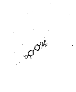 COc1ccc(-c2ccc(OC(F)(F)F)cc2)cc1C